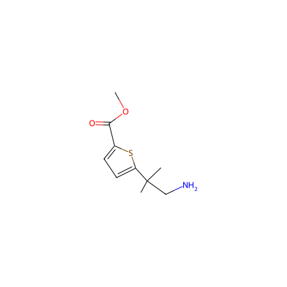 COC(=O)c1ccc(C(C)(C)CN)s1